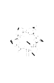 C#CCNCC(=O)N(CC#C)CC(=O)N(CC#C)CC(=O)N(CC#C)CC(=O)N(CC#C)CC(=O)N(CC)CC#C